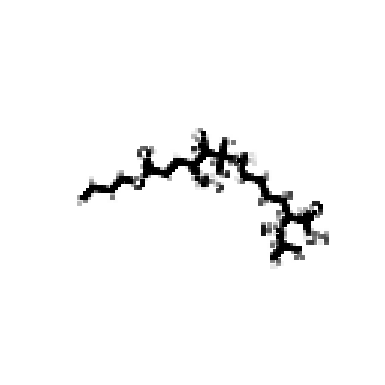 CCCCOC(=O)CCC(N)C(=O)C(C)(C)NCCCCC(NC(C)C)C(=O)O